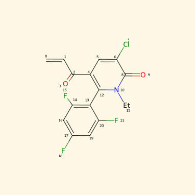 C=CC(=O)c1cc(Cl)c(=O)n(CC)c1-c1c(F)cc(F)cc1F